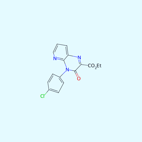 CCOC(=O)c1nc2cccnc2n(-c2ccc(Cl)cc2)c1=O